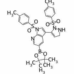 Cc1ccc(S(=O)(=O)N2NCC=C2c2cn(S(=O)(=O)c3ccc(C)cc3)c3ncc(B4OC(C)(C)C(C)(C)O4)cc23)cc1